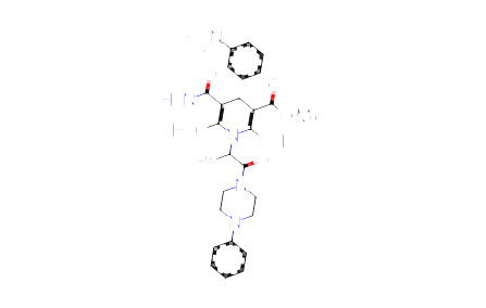 COC(=O)C1=C(C)N(C(C(=O)N2CCN(c3ccccc3)CC2)C(C)C)C(C)=C(C(N)=O)[C@@H]1c1cccc([N+](=O)[O-])c1